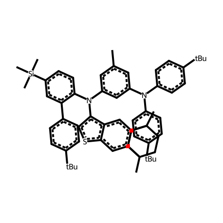 Cc1cc(N(c2ccc(C(C)(C)C)cc2)c2ccc(C(C)(C)C)cc2)cc(N(c2ccc([Si](C)(C)C)cc2-c2ccc(C(C)(C)C)cc2)c2csc3cc4c(cc23)C2(C)CCC4(C)CC2)c1